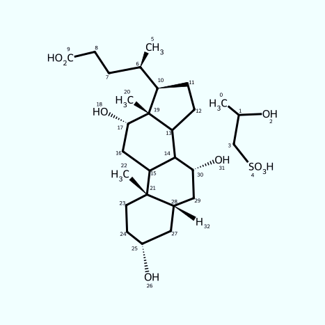 CC(O)CS(=O)(=O)O.C[C@H](CCC(=O)O)[C@H]1CCC2C3C(C[C@H](O)[C@@]21C)[C@@]1(C)CC[C@@H](O)C[C@H]1C[C@H]3O